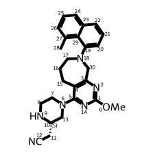 COc1nc2c(c(N3CCN[C@@H](CC#N)C3)n1)CCCN(c1cccc3cccc(C)c13)C2